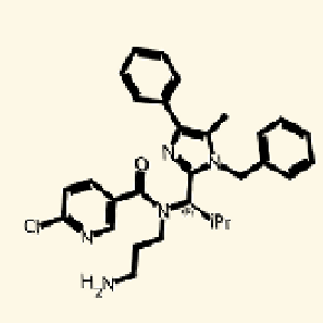 Cc1c(-c2ccccc2)nc([C@@H](C(C)C)N(CCCN)C(=O)c2ccc(Cl)nc2)n1Cc1ccccc1